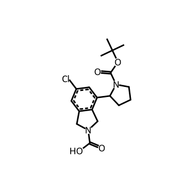 CC(C)(C)OC(=O)N1CCCC1c1cc(Cl)cc2c1CN(C(=O)O)C2